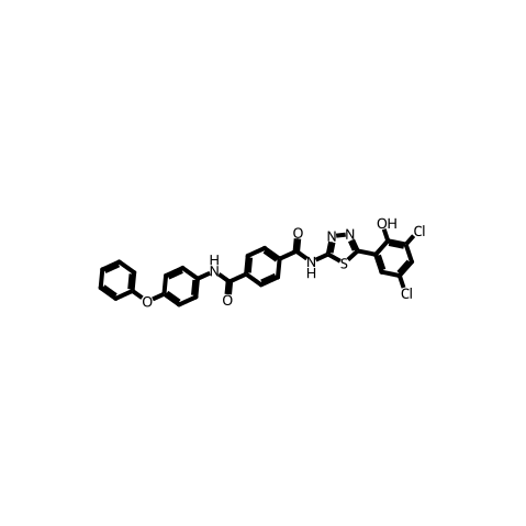 O=C(Nc1ccc(Oc2ccccc2)cc1)c1ccc(C(=O)Nc2nnc(-c3cc(Cl)cc(Cl)c3O)s2)cc1